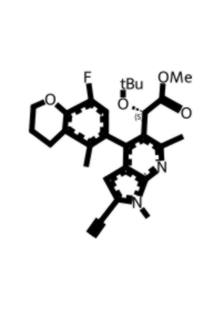 C#Cc1cc2c(-c3cc(F)c4c(c3C)CCCO4)c([C@H](OC(C)(C)C)C(=O)OC)c(C)nc2n1C